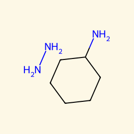 NC1CCCCC1.NN